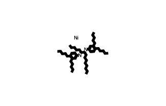 CCCCCCCCC(=N\c1ccc(CCCCC)c(CCCCC)c1)/C(CCCCC)=N/c1ccc(CCCCC)c(CCCCC)c1.[Ni]